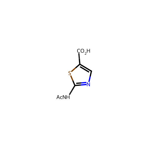 CC(=O)Nc1ncc(C(=O)O)s1